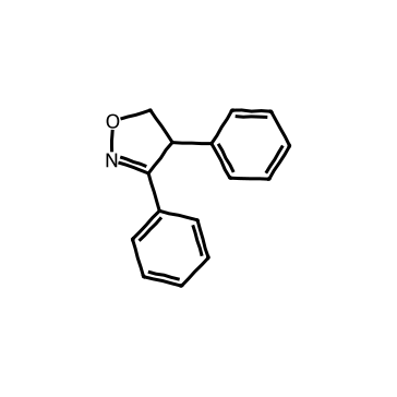 c1ccc(C2=NOCC2c2ccccc2)cc1